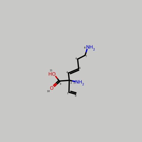 C=CC(N)(C=CCCN)C(=O)O